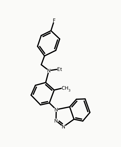 CCN(Cc1ccc(F)cc1)c1cccc(-n2nnc3ccccc32)c1C